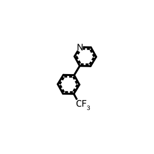 FC(F)(F)c1cccc(-c2cccnc2)c1